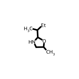 CCC(C)C1NCC(C)O1